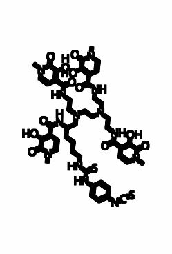 Cn1ccc(C(=O)NCCN(CCNC(=O)c2ccn(C)c(=O)c2O)CCN(CCNC(=O)c2ccn(C)c(=O)c2O)CC(CCCCNC(=S)Nc2ccc(N=C=S)cc2)NC(=O)c2ccn(C)c(=O)c2O)c(O)c1=O